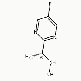 CN[C@H](C)c1ncc(F)cn1